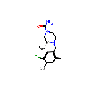 Cc1cc(C(C)(C)C)c(Cl)cc1CN1CCN(C(N)=O)C[C@H]1C(=O)O